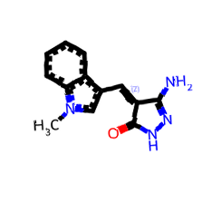 Cn1cc(/C=C2\C(=O)NN=C2N)c2ccccc21